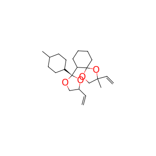 C=CC1CO[C@](C2CCC(C)CC2)(C2CCCCC23OCC(C)(C=C)O3)O1